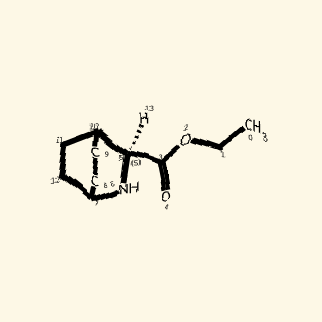 CCOC(=O)[C@H]1NC2CCC1CC2